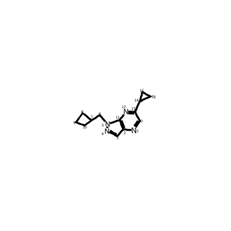 c1nc2cnn(CC3CCC3)c2nc1C1CC1